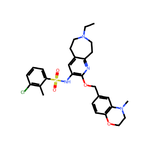 CCN1CCc2cc(NS(=O)(=O)c3cccc(Cl)c3C)c(OCc3ccc4c(c3)N(C)CCO4)nc2CC1